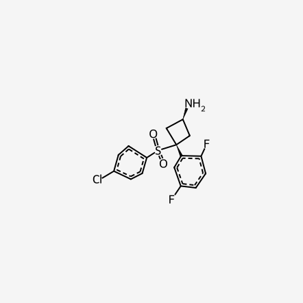 N[C@H]1C[C@](c2cc(F)ccc2F)(S(=O)(=O)c2ccc(Cl)cc2)C1